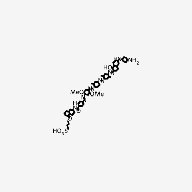 COc1cc(N=Nc2ccc(N=Nc3cc(C)c(N=Nc4ccc5cc(Nc6ccc(N)cc6)ccc5c4O)cc3C)cc2C)c(OC)cc1N=Nc1ccc(C(=O)Nc2ccc3c(OCCCCS(=O)(=O)O)cccc3c2)cc1